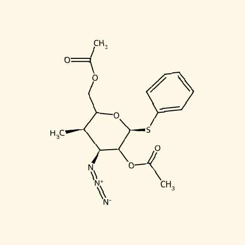 CC(=O)OCC1O[C@@H](Sc2ccccc2)C(OC(C)=O)[C@@H](N=[N+]=[N-])[C@H]1C